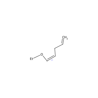 C=CC/C=[C]\OCC